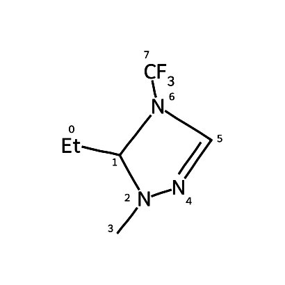 CCC1N(C)N=CN1C(F)(F)F